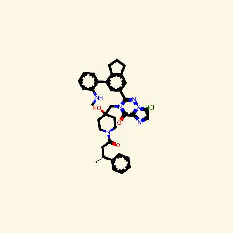 CNc1ccccc1-c1cc(-c2nn3ccnc3c(=O)n2CC2(O)CCN(C(=O)C[C@@H](C)c3ccccc3)CC2)cc2c1CCC2.Cl